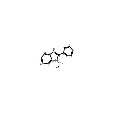 COn1c(-c2ccccc2)nc2ccccc21